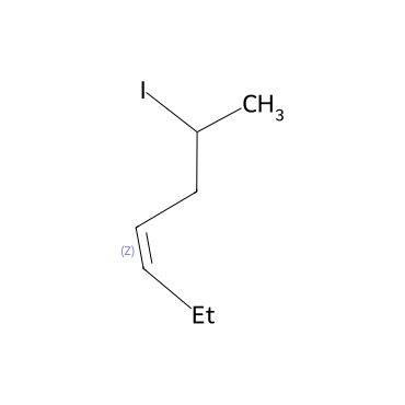 CC/C=C\CC(C)I